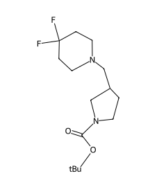 CC(C)(C)OC(=O)N1CCC(CN2CCC(F)(F)CC2)C1